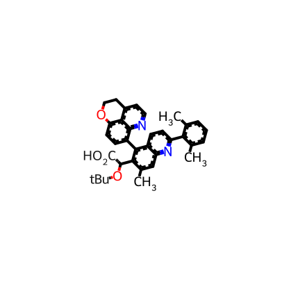 Cc1cccc(C)c1-c1ccc2c(-c3ccc4c5c(ccnc35)CCO4)c(C(OC(C)(C)C)C(=O)O)c(C)cc2n1